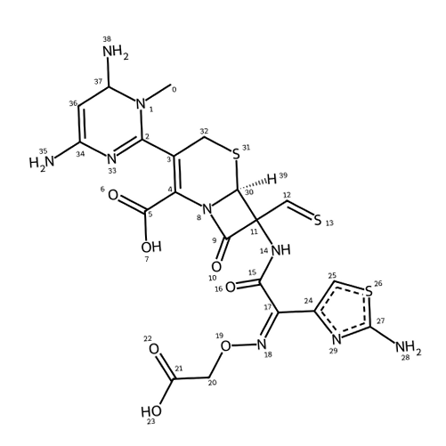 CN1C(C2=C(C(=O)O)N3C(=O)C(C=S)(NC(=O)/C(=N\OCC(=O)O)c4csc(N)n4)[C@@H]3SC2)=NC(N)=CC1N